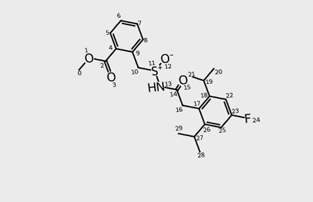 COC(=O)c1ccccc1C[S+]([O-])NC(=O)Cc1c(C(C)C)cc(F)cc1C(C)C